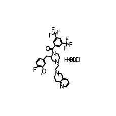 COc1cc(C[C@@H]2CN(CCN3CCc4ncccc4C3)CCN2C(=O)c2cc(C(F)(F)F)cc(C(F)(F)F)c2)ccc1F.Cl.Cl.Cl